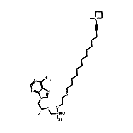 C[C@H](Cn1cnc2c(N)ncnc21)OCP(=O)(O)OCCSCCCCCCCCCCCCC#C[Si]1(C)CCC1